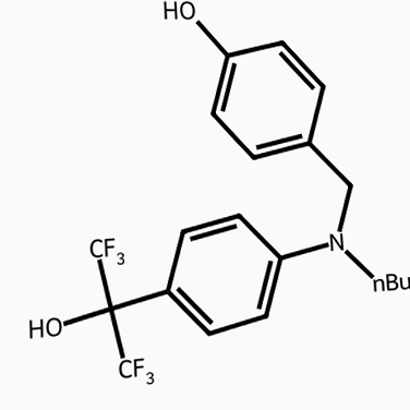 CCCCN(Cc1ccc(O)cc1)c1ccc(C(O)(C(F)(F)F)C(F)(F)F)cc1